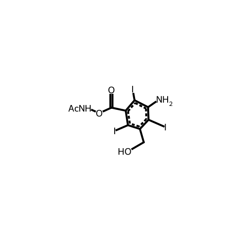 CC(=O)NOC(=O)c1c(I)c(N)c(I)c(CO)c1I